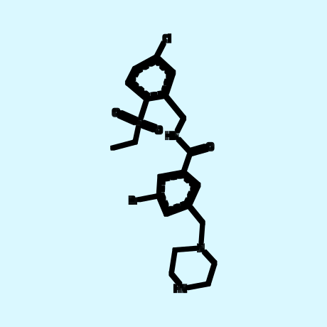 CCS(=O)(=O)c1ccc(Cl)cc1CNC(=O)c1cc(Br)cc(CN2CCNCC2)c1